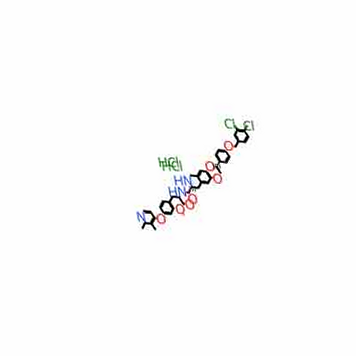 COC(=O)C(Cc1ccc(Oc2ccnc(C)c2C)cc1)NC(=O)[C@@H]1Cc2cc3c(cc2CN1)O[C@@H](c1ccc(OCc2ccc(Cl)c(Cl)c2)cc1)CO3.Cl.Cl